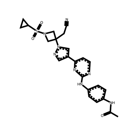 CC(=O)Nc1ccc(Nc2nccc(-c3cnn(C4(CC#N)CN(S(=O)(=O)C5CC5)C4)c3)n2)cc1